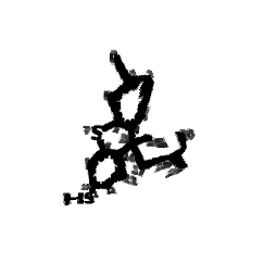 Cc1ccc2c(c1)Sc1cc(S)ccc1C2(C)CC(C)C